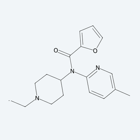 [CH2]CN1CCC(N(C(=O)c2ccco2)c2ccc(C)cn2)CC1